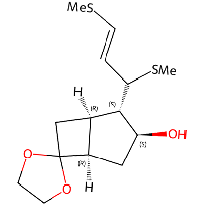 CSC=CC(SC)[C@H]1[C@@H]2CC3(OCCO3)[C@@H]2C[C@@H]1O